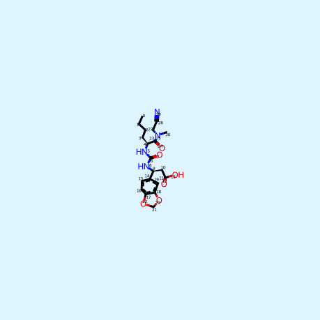 CCCC[C@H](NC(=O)N[C@@H](CC(=O)O)c1ccc2c(c1)OCO2)C(=O)N(C)CC#N